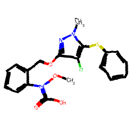 CON(C(=O)O)c1ccccc1COc1nn(C)c(Sc2ccccc2)c1Cl